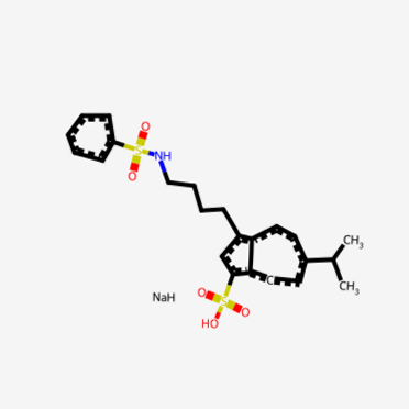 CC(C)c1ccc2c(CCCCNS(=O)(=O)c3ccccc3)cc(S(=O)(=O)O)c-2cc1.[NaH]